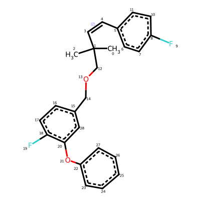 CC(C)(/C=C\c1ccc(F)cc1)COCc1ccc(F)c(Oc2ccccc2)c1